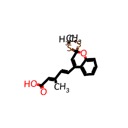 CSC1(SC)C=C(/C=C/C(C)=C/C(=O)O)c2ccccc2O1